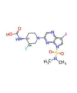 CN(C)S(=O)(=O)n1cc(I)c2ncc(N3CC[C@H](NC(=O)O)[C@H](F)C3)nc21